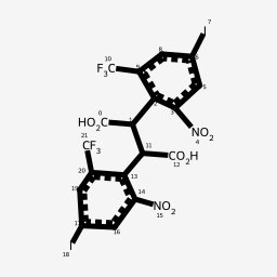 O=C(O)C(c1c([N+](=O)[O-])cc(I)cc1C(F)(F)F)C(C(=O)O)c1c([N+](=O)[O-])cc(I)cc1C(F)(F)F